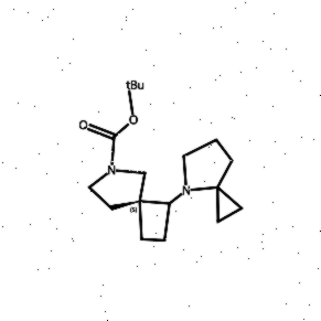 CC(C)(C)OC(=O)N1CC[C@@]2(CCC2N2CCCC23CC3)C1